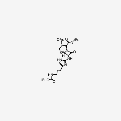 CC(=O)OCC1=C(C(=O)OC(C)(C)C)N2C(=O)C(Nc3nc(CCCNC(=O)OCC(C)C)c[nH]3)[C@@H]2SC1